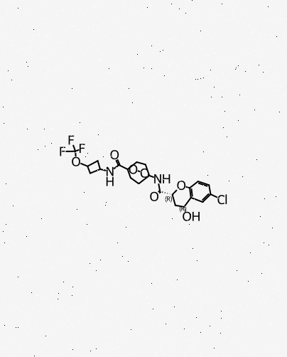 O=C(NC12CCC(C(=O)NC3CC(OC(F)(F)F)C3)(CC1)OC2)[C@H]1C[C@@H](O)c2cc(Cl)ccc2O1